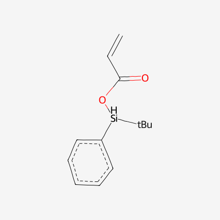 C=CC(=O)O[SiH](c1ccccc1)C(C)(C)C